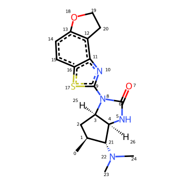 C[C@H]1C[C@@H]2[C@@H](NC(=O)N2c2nc3c4c(ccc3s2)OCC4)[C@@H]1N(C)C